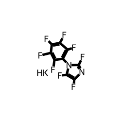 Fc1nc(F)n(-c2c(F)c(F)c(F)c(F)c2F)c1F.[KH]